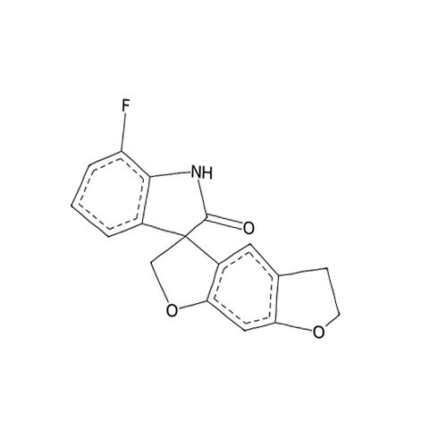 O=C1Nc2c(F)cccc2C12COc1cc3c(cc12)CCO3